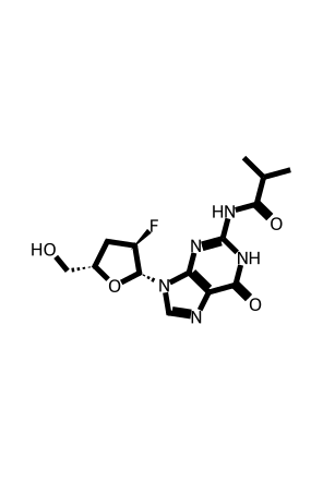 CC(C)C(=O)Nc1nc2c(ncn2[C@@H]2O[C@H](CO)C[C@H]2F)c(=O)[nH]1